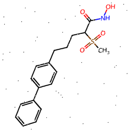 CS(=O)(=O)C(CCCc1ccc(-c2ccccc2)cc1)C(=O)NO